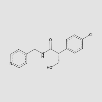 O=C(NCc1ccncc1)[C@@H](CO)c1ccc(Cl)cc1